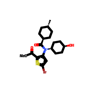 COC(=O)c1sc(Br)cc1N(C(=O)[C@H]1CC[C@H](C)CC1)[C@H]1CC[C@H](O)CC1